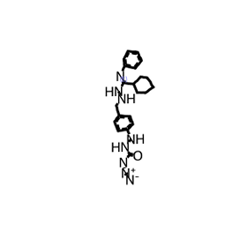 [N-]=[N+]=NC(=O)NNc1ccc(CNN/C(=N/c2ccccc2)C2CCCCC2)cc1